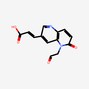 O=CCn1c(=O)ccc2ncc(C=CC(=O)O)cc21